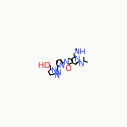 CNCc1nc(N(C)C(C)C)cc2c1CN(c1cccc(-c3nnc4n3C(CO)CC4)n1)C2=O